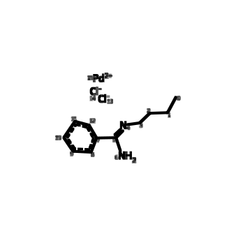 CCCCN=C(N)c1ccccc1.[Cl-].[Cl-].[Pd+2]